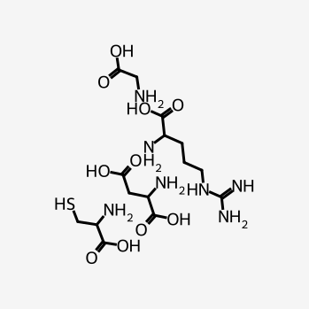 N=C(N)NCCCC(N)C(=O)O.NC(CC(=O)O)C(=O)O.NC(CS)C(=O)O.NCC(=O)O